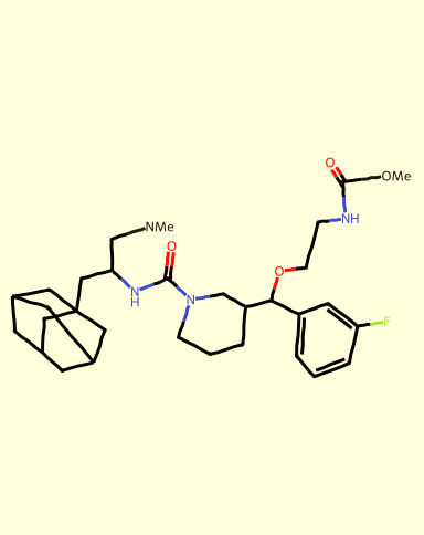 CNCC(CC12CC3CC(CC(C3)C1)C2)NC(=O)N1CCCC(C(OCCNC(=O)OC)c2cccc(F)c2)C1